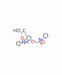 Cc1oc(-c2ccccc2)nc1CCOc1ccc(CCC(=O)O)c(C(=O)Nc2ccccc2)c1